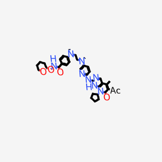 CC(=O)c1c(C)c2cnc(Nc3ccc(N(C)CCN(C)c4ccc(C(=O)NOC5CCCCO5)cc4)cn3)nc2n(C2CCCC2)c1=O